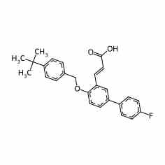 CC(C)(C)c1ccc(COc2ccc(-c3ccc(F)cc3)cc2C=CC(=O)O)cc1